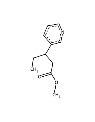 CCC(CC(=O)OC)c1cccnc1